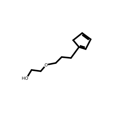 OCCOCCCC1=CC=CC1